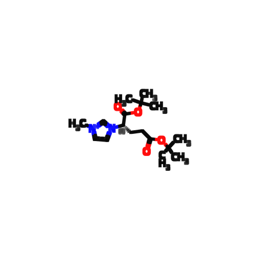 C[n+]1ccn([C@@H](CCC(=O)OC(C)(C)C)C(=O)OC(C)(C)C)c1